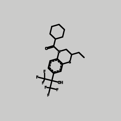 CCC1CN(C(=O)C2CCCCC2)c2ccc(C(O)(C(F)(F)F)C(F)(F)F)cc2S1